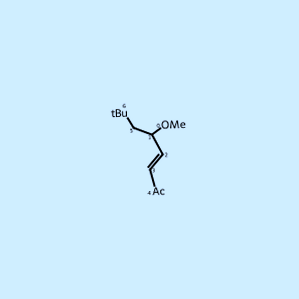 COC(/C=C/C(C)=O)CC(C)(C)C